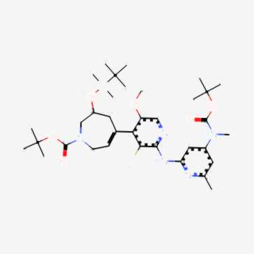 COc1cnc(Nc2cc(N(C)C(=O)OC(C)(C)C)cc(C)n2)c(F)c1C1=CCN(C(=O)OC(C)(C)C)CC(O[Si](C)(C)C(C)(C)C)C1